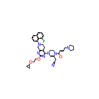 N#CCC1=CN(c2nc(OCCOC3CC3)nc3c2CCN(c2cccc4cccc(F)c24)C3)CCN1C(=O)/C=C/CN1CCCC1